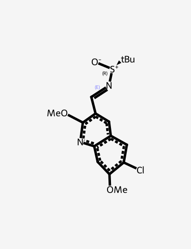 COc1cc2nc(OC)c(/C=N/[S@@+]([O-])C(C)(C)C)cc2cc1Cl